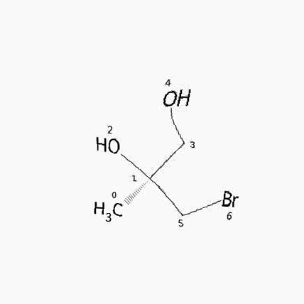 C[C@](O)(CO)CBr